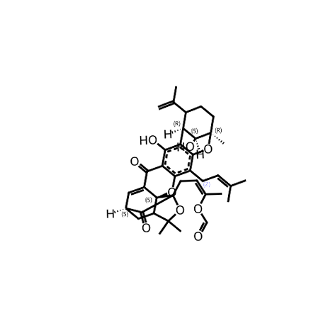 C=C(C)C1CC[C@@]2(C)Oc3c(CC=C(C)C)c4c(c(O)c3[C@@H]1[C@@H]2O)C(=O)C1=C[C@@H]2CC3C(C)(C)OC(C/C=C(/C)OC=O)(C2=O)[C@@]13O4